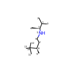 CC(C)[C@H](C)NCC[C@@H](C)C(C)(C)C